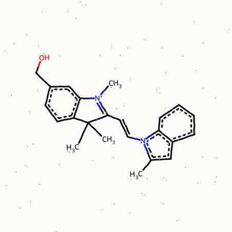 Cc1cc2ccccc2n1C=CC1=[N+](C)c2cc(CO)ccc2C1(C)C